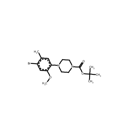 COc1cc(Br)c(C)cc1N1CCN(C(=O)OC(C)(C)C)CC1